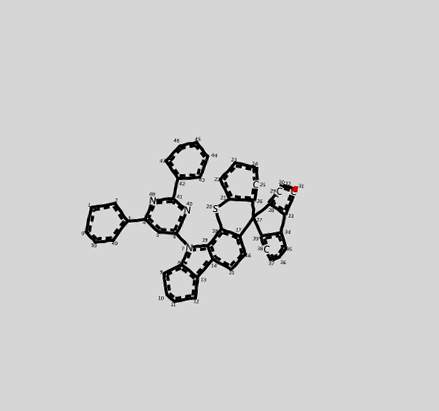 c1ccc(-c2cc(-n3c4ccccc4c4ccc5c(c43)Sc3ccccc3C53c4ccccc4-c4ccccc43)nc(-c3ccccc3)n2)cc1